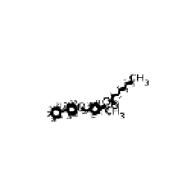 CCCCCCCC(=O)OC(C)c1ccc(COc2ccc(-c3ccccc3)cc2)cc1